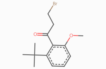 COc1cccc(C(C)(C)C)c1C(=O)CCBr